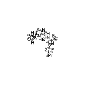 CC(C)C1CCC(n2cc(NC(O)c3cnn4ccc(N5C[C@@H]6C[C@H]5CO6)nc34)c(C(F)F)n2)CC1